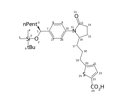 CCCCC[C@H](O[Si](C)(C)C(C)(C)C)c1ccc(N2C(=O)CCC2CCCc2ccc(C(=O)O)s2)cc1